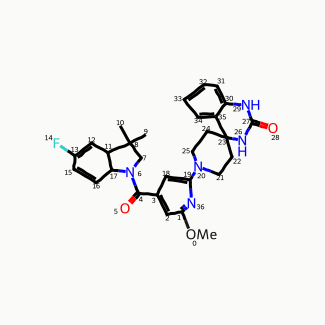 COc1cc(C(=O)N2CC(C)(C)C3C=C(F)C=CC32)cc(N2CCC3(CC2)NC(=O)Nc2ccccc23)n1